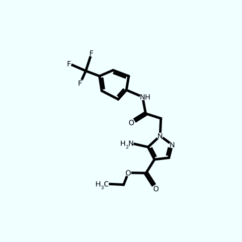 CCOC(=O)c1cnn(CC(=O)Nc2ccc(C(F)(F)F)cc2)c1N